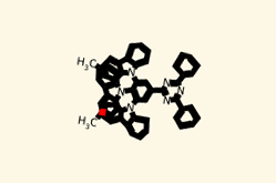 Cc1ccc2c(c1)c1cc(C)ccc1n2-c1c(-n2c3ccccc3c3ccccc32)cc(-c2nc(-c3ccccc3)nc(-c3ccccc3)n2)cc1-n1c2ccccc2c2ccccc21